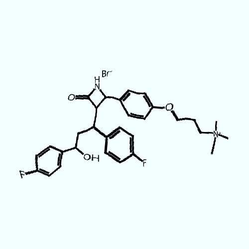 C[N+](C)(C)CCCOc1ccc(C2NC(=O)C2C(CC(O)c2ccc(F)cc2)c2ccc(F)cc2)cc1.[Br-]